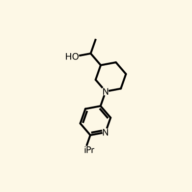 CC(C)c1ccc(N2CCCC(C(C)O)C2)cn1